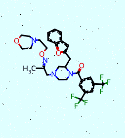 CC(CN1CCN(C(=O)c2cc(C(F)(F)F)cc(C(F)(F)F)c2)C(Cc2cc3ccccc3o2)C1)=NOCCN1CCOCC1